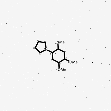 CNC1CC(OC)C(OC)CC1N1CCCC1